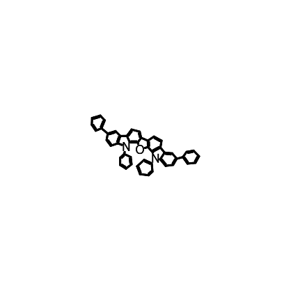 c1ccc(-c2ccc3c(c2)c2ccc4c5ccc6c7cc(-c8ccccc8)ccc7n(-c7ccccc7)c6c5oc4c2n3-c2ccccc2)cc1